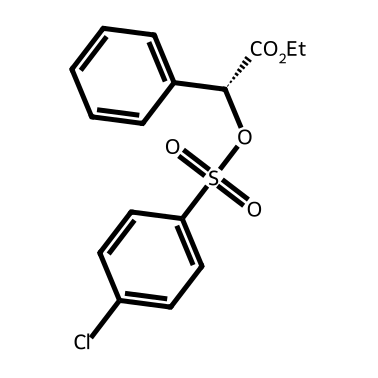 CCOC(=O)[C@H](OS(=O)(=O)c1ccc(Cl)cc1)c1ccccc1